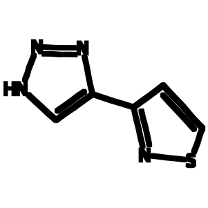 c1cc(-c2c[nH]nn2)ns1